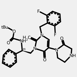 C=C1N(Cc2c(F)cccc2F)C=C(N2CCNCC2=O)C(=O)N1C[C@H](NC(=O)OC(C)(C)C)c1ccccc1